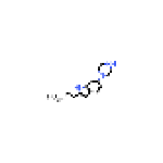 O=C(O)CCc1cc2ccc(N3CCNCC3)cc2[nH]1